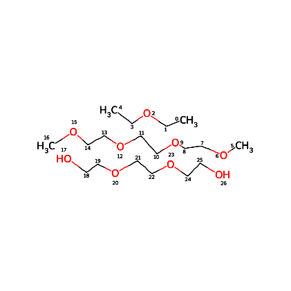 CCOCC.COCCOCCOCCOC.OCCOCCOCCO